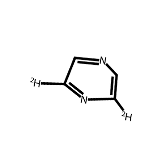 [2H]c1cncc([2H])n1